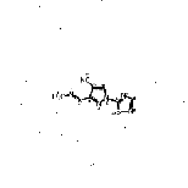 CN=Nc1nn(-c2ncns2)cc1C#N